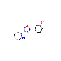 COc1cccc(-c2nc(C3CCCCN3)no2)c1